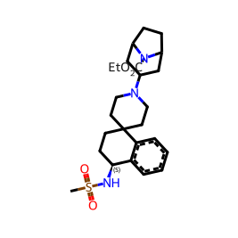 CCOC(=O)N1C2CCC1CC(N1CCC3(CC[C@H](NS(C)(=O)=O)c4ccccc43)CC1)C2